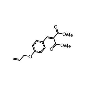 C=CCOc1ccc(C=C(C(=O)OC)C(=O)OC)cc1